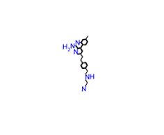 Cc1ccc2c(c1)nc(N)c1ncc(CCc3ccc(CCNCCC#N)cc3)cc12